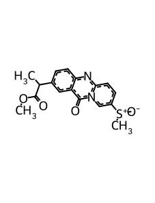 COC(=O)C(C)c1ccc2nc3ccc([S+](C)[O-])cn3c(=O)c2c1